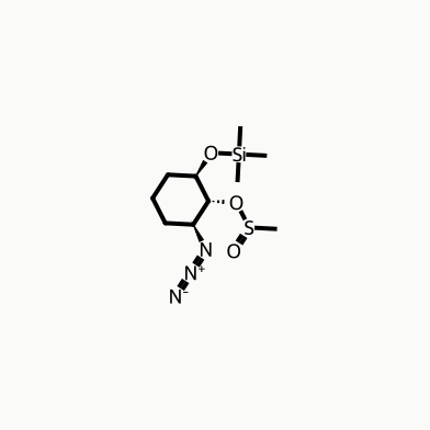 CS(=O)O[C@@H]1[C@@H](N=[N+]=[N-])CCC[C@H]1O[Si](C)(C)C